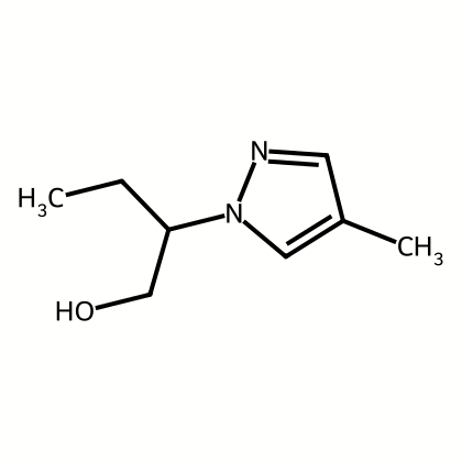 CCC(CO)n1cc(C)cn1